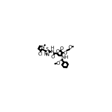 COCCOc1c(N[C@@H](COC)c2ccccc2)cc(C(=O)Nc2nnc(-c3c(Cl)ccn3C)s2)oc1=O